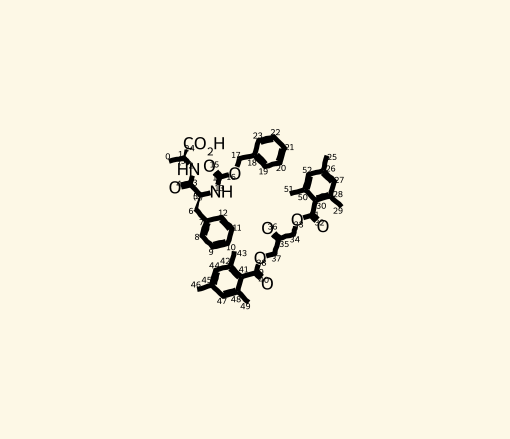 C[C@H](NC(=O)[C@H](Cc1ccccc1)NC(=O)OCc1ccccc1)C(=O)O.Cc1cc(C)c(C(=O)OCC(=O)COC(=O)c2c(C)cc(C)cc2C)c(C)c1